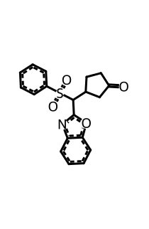 O=C1CCC(C(c2nc3ccccc3o2)S(=O)(=O)c2ccccc2)C1